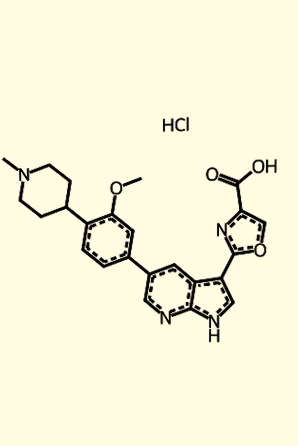 COc1cc(-c2cnc3[nH]cc(-c4nc(C(=O)O)co4)c3c2)ccc1C1CCN(C)CC1.Cl